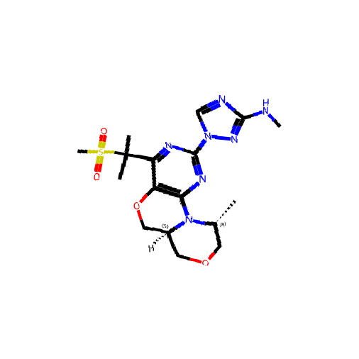 CNc1ncn(-c2nc3c(c(C(C)(C)S(C)(=O)=O)n2)OC[C@@H]2COC[C@@H](C)N32)n1